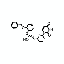 CCC(COP(O)OC1CSSC[C@@H]1OCc1ccccc1)OC(C)n1ccc(=O)[nH]c1=O